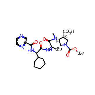 CN(C(=O)C(NC(=O)C(NC(=O)c1cnccn1)C1CCCCC1)C(C)(C)C)[C@H]1CN(C(=O)OC(C)(C)C)C[C@H]1C(=O)O